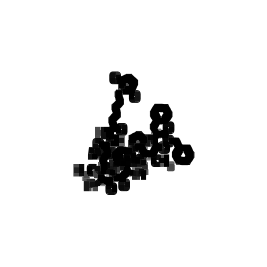 CC[C@H](C)[C@@H]([C@@H](CC(=O)N1CCC[C@H]1[C@H](OC)[C@@H](C)C(=O)N[C@@H](Cc1ccccc1)C(=O)OCc1ccccc1)OC)N(C)[C@H](C(=O)NC(=O)[C@H](C(C)C)N(C)CCCC(=O)NNC(=O)CCCCCN1C(=O)C=CC1=O)C(C)C